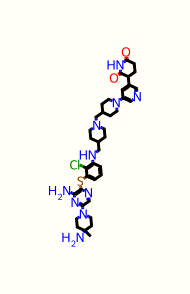 CC1(N)CCN(c2cnc(Sc3cccc(NCC4CCN(CC5CCN(c6cncc(C7CCC(=O)NC7=O)c6)CC5)CC4)c3Cl)c(N)n2)CC1